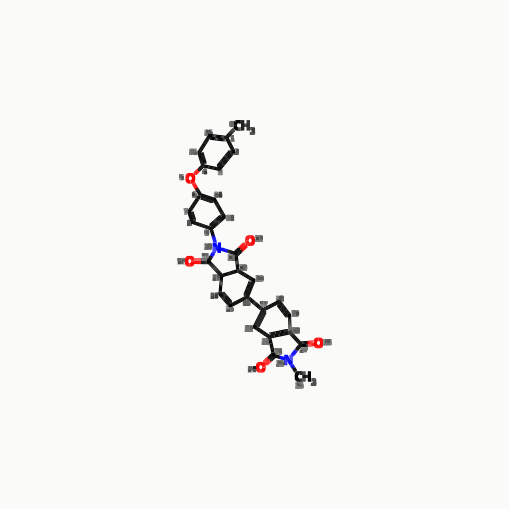 Cc1ccc(Oc2ccc(N3C(=O)C4C=CC(c5ccc6c(c5)C(=O)N(C)C6=O)=CC4C3=O)cc2)cc1